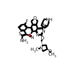 CO[C@@H]1C[C@@H](COc2nc(N3C4CCC3CNC4)c3c4c(c(-c5c(F)ccc6sc(N)c(C#N)c56)c(F)c3n2)COC4)N(C)C1